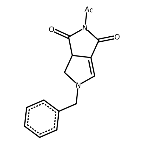 CC(=O)N1C(=O)C2=CN(Cc3ccccc3)CC2C1=O